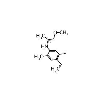 C=Cc1cc(C)c(N[C@@H](C)COC)cc1F